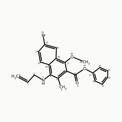 C=CCNc1c(C)c(C(=O)Oc2ccccc2)c(OC)c2cc(Br)ccc12